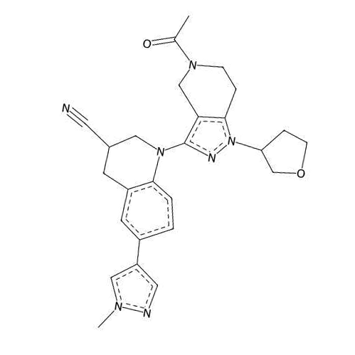 CC(=O)N1CCc2c(c(N3CC(C#N)Cc4cc(-c5cnn(C)c5)ccc43)nn2C2CCOC2)C1